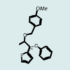 COc1ccc(COC(C)[C@H](Oc2ccccc2)c2cccs2)cc1